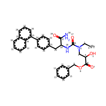 CC(C)CN(CC(O)C(=O)OCc1ccccc1)C(=O)NC(Cc1ccc(-c2cccc3ccccc23)cc1)C(N)=O